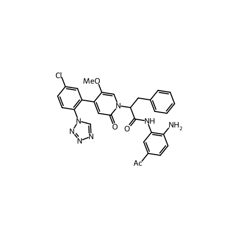 COc1cn(C(Cc2ccccc2)C(=O)Nc2cc(C(C)=O)ccc2N)c(=O)cc1-c1cc(Cl)ccc1-n1cnnn1